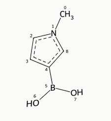 Cn1ccc(B(O)O)c1